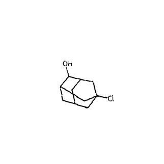 OC1C2CC3CC1CC(Cl)(C3)C2